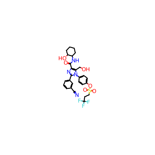 N#Cc1cccc(-c2nc(C(=O)NC3CCCCC3O)c(CO)n2-c2ccc(OS(=O)(=O)CCC(F)(F)F)cc2)c1